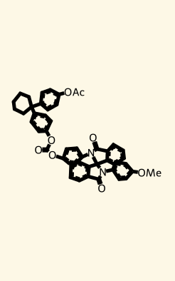 COc1ccc(N2C(=O)c3ccccc3C23c2ccccc2C(=O)N3c2ccc(OC(=O)Oc3ccc(C4(c5ccc(OC(C)=O)cc5)CCCCC4)cc3)cc2)cc1